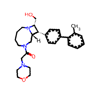 Cc1ccccc1-c1ccc([C@H]2[C@@H](CO)N3CCCCN(C(=O)CN4CCOCC4)C[C@@H]23)cc1